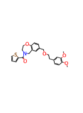 COc1ccc(CCOCc2ccc3c(c2)CN(C(=O)c2cccs2)CCO3)cc1OC